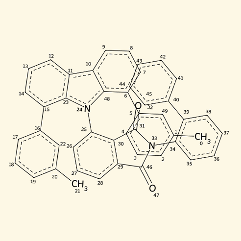 Cc1cccc(-c2cccc3c4cccc(-c5cccc(C)c5)c4n(-c4cccc5c4C(=O)N(c4ccccc4-c4ccccc4)C5=O)c23)c1